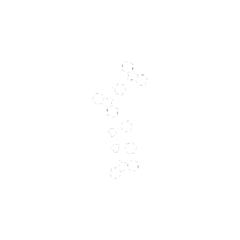 c1ccc2c(c1)Oc1ccccc1C21c2cc(-c3ccc4c(c3)c3ccccc3n4-c3ccc(-n4c5ccccc5c5ccccc54)cn3)cnc2-c2ncc(-n3c4ccccc4c4ccccc43)cc21